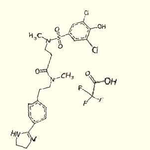 CN(CCc1ccc(C2=NCCN2)cc1)C(=O)CCN(C)S(=O)(=O)c1cc(Cl)c(O)c(Cl)c1.O=C(O)C(F)(F)F